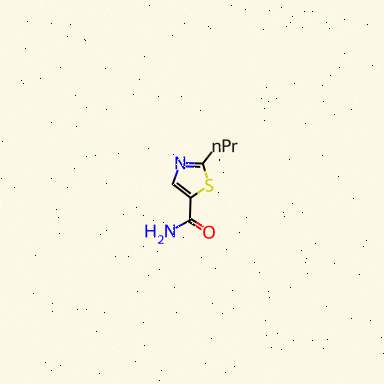 C[CH]Cc1ncc(C(N)=O)s1